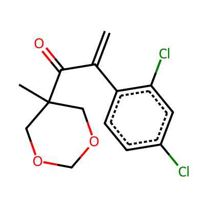 C=C(C(=O)C1(C)COCOC1)c1ccc(Cl)cc1Cl